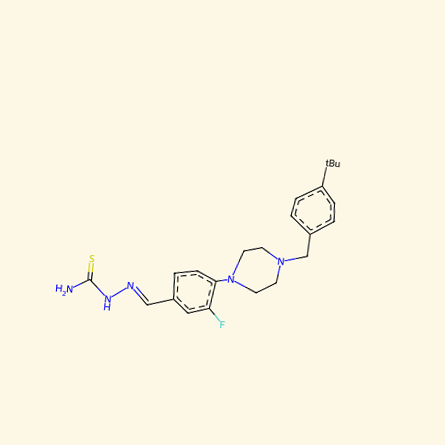 CC(C)(C)c1ccc(CN2CCN(c3ccc(C=NNC(N)=S)cc3F)CC2)cc1